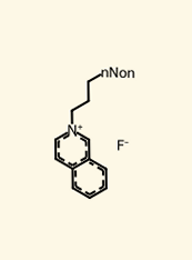 CCCCCCCCCCCC[n+]1ccc2ccccc2c1.[F-]